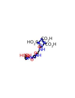 O=C(O)CN1CCN(CC(=O)O)CCN(CC(=O)NCCCCC(=O)Nc2ccc(C(=O)NCC(=O)N3CCC[C@H]3B(O)O)cc2)CCN(CC(=O)O)CC1